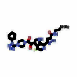 CC(=O)NCCNC(=O)c1cc(-c2ncc(F)c3c(C(=O)C(=O)N4CCN(c5nnnn5-c5ccccc5)CC4)c[nH]c23)n[nH]1